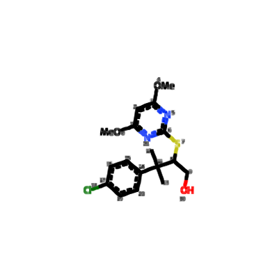 COc1cc(OC)nc(SC(CO)C(C)(C)c2ccc(Cl)cc2)n1